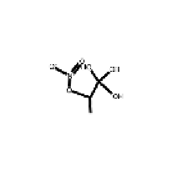 CC(O[N+](=O)[O-])C(O)(O)O